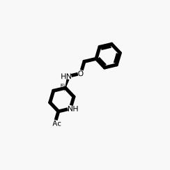 CC(=O)C1CC[C@@H](NOCc2ccccc2)CN1